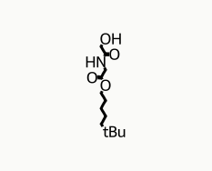 CC(C)(C)CCCCCOC(=O)CNC(=O)CO